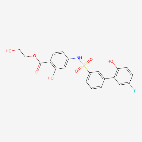 O=C(OCCO)c1ccc(NS(=O)(=O)c2cccc(-c3cc(F)ccc3O)c2)cc1O